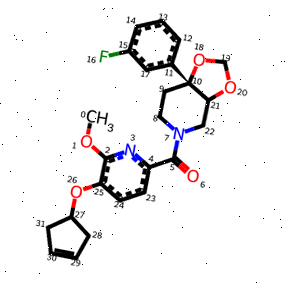 COc1nc(C(=O)N2CC[C@]3(c4cccc(F)c4)OCOC3C2)ccc1OC1CC=CC1